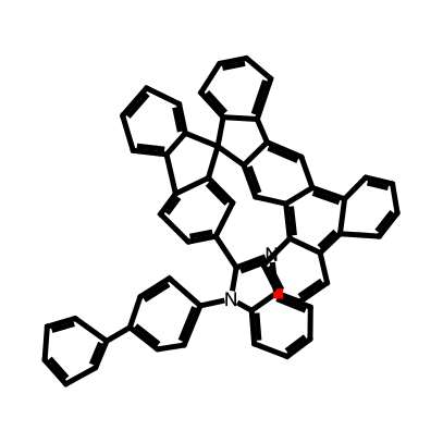 c1ccc(-c2ccc(-n3c(-c4ccc5c(c4)C4(c6ccccc6-5)c5ccccc5-c5cc6c7ccccc7c7ccccc7c6cc54)nc4ccccc43)cc2)cc1